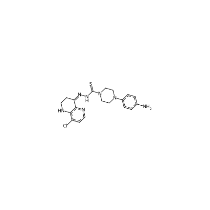 Nc1ccc(N2CCN(C(=S)N/N=C3/CCNc4c(Cl)ccnc43)CC2)cc1